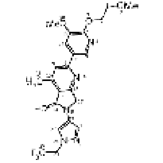 COCCOc1ncc(-c2cc(C)c3c(n2)CN(c2cnn(CC(F)(F)F)c2)C3=O)cc1OC